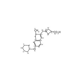 CC1Cc2cc(OC3CCCCC3)ccc2C=C1CN1CC(C(=O)O)C1